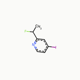 CC(F)c1cc(I)ccn1